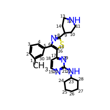 Cc1cccc(-c2nc(C3CCNCC3)sc2-c2ccnc(NC3CCCCC3)n2)c1